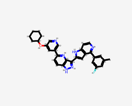 Cc1cc(F)cc(-c2nccc3[nH]c(-c4n[nH]c5ccc(-c6cncc(OC7CCCCC7)c6)nc45)cc23)c1